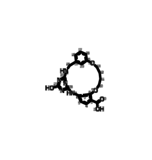 O=C(O)c1ccc2cc1OCCCCOc1cccc(c1)CNc1nc(O)nc(n1)N2